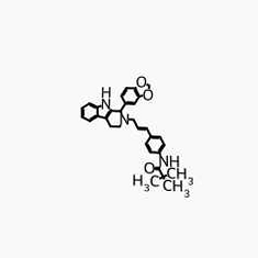 CC(C)(C)C(=O)Nc1ccc(/C=C/CN2CCc3c([nH]c4ccccc34)C2c2ccc3c(c2)OCO3)cc1